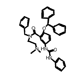 CN(C)CCN(Cc1ccccc1)C(=O)c1cc(NC(=O)Nc2ccccc2)ccc1OC(c1ccccc1)c1ccccc1